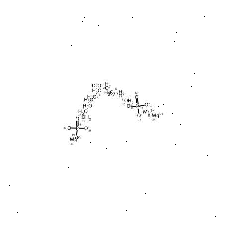 O.O.O.O.O.O.O.O.O.O.O.O.O=P([O-])([O-])[O-].O=P([O-])([O-])[O-].[Mg+2].[Mg+2].[Mg+2]